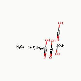 O=S(=O)(O)O.[CaH2].[CaH2].[CaH2].[CaH2].[O]=[Al][OH].[O]=[Al][OH].[O]=[Al][OH]